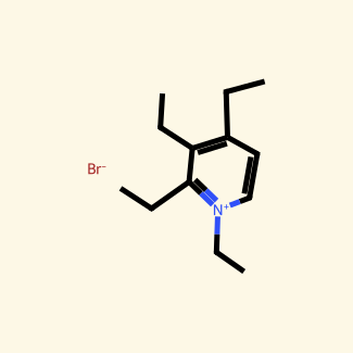 CCc1cc[n+](CC)c(CC)c1CC.[Br-]